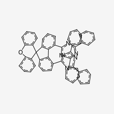 c1ccc(-c2nc(-c3ccccc3)nc(-c3cccc4c3-c3c(-c5nc(-c6ccccc6)nc(-c6ccccc6)n5)cccc3C43c4ccccc4Oc4ccccc43)n2)cc1